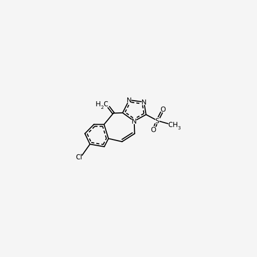 C=C1c2ccc(Cl)cc2C=Cn2c1nnc2S(C)(=O)=O